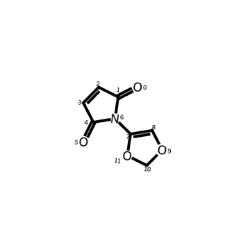 O=C1C=CC(=O)N1C1=COCO1